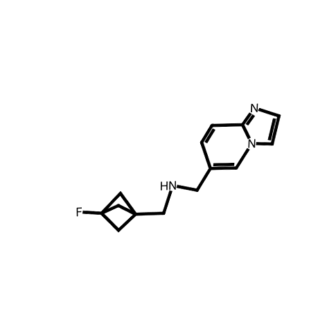 FC12CC(CNCc3ccc4nccn4c3)(C1)C2